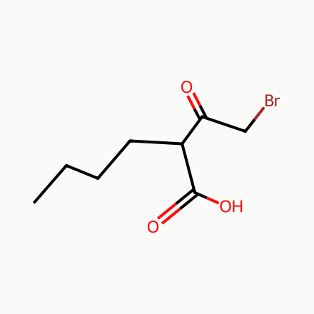 CCCCC(C(=O)O)C(=O)CBr